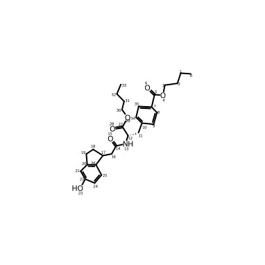 CCCCOC(=O)c1ccc(C[C@H](NC(=O)CC2CCc3cc(O)ccc32)C(=O)OCCCC)cc1